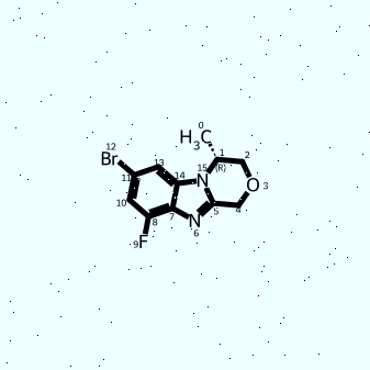 C[C@@H]1COCc2nc3c(F)cc(Br)cc3n21